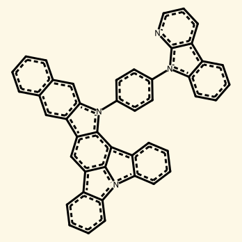 c1ccc2cc3c(cc2c1)c1cc2c4ccccc4n4c5ccccc5c(c1n3-c1ccc(-n3c5ccccc5c5cccnc53)cc1)c24